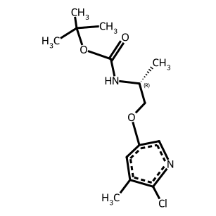 Cc1cc(OC[C@@H](C)NC(=O)OC(C)(C)C)cnc1Cl